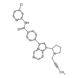 CC#CCN1CCCC1c1cc(-c2ccc(C(=O)Nc3cc(Cl)ccn3)cc2)n2cnccc12